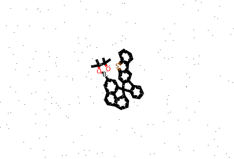 CC1(C)OB(c2cc3c4c(ccc5cccc(c54)C34c3ccccc3-c3cc5c(cc34)sc3ccccc35)c2)OC1(C)C